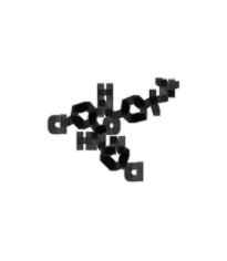 CN(C)CC(C)(C)c1ccc(CNc2ccc(Cl)cc2C(=O)Nc2ccc(Cl)cn2)cc1